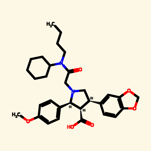 CCCCN(C(=O)CN1C[C@H](c2ccc3c(c2)OCO3)[C@H](C(=O)O)[C@H]1c1ccc(OC)cc1)C1CCCCC1